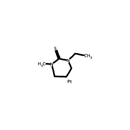 CCN1CCCN(C)C1=S.[Pt]